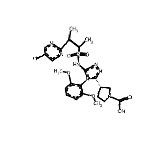 COc1cccc(OC)c1-n1c(NS(=O)(=O)C(C)C(C)c2ncc(Cl)cn2)nnc1[C@H]1CCN(C(=O)O)C1